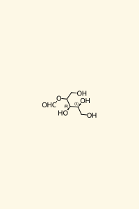 O=COC(CO)[C@H](O)[C@@H](O)CO